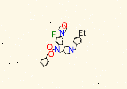 CCc1ccc(CN2CCC(CN(C(=O)OCc3ccccc3)c3ccc(N4CCOCC4)c(F)c3)CC2)cc1